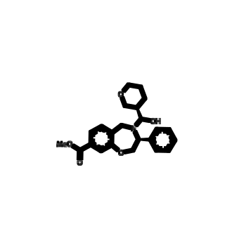 COC(=O)c1ccc2c(c1)OC[C@H](c1ccccc1)N(C(O)[C@@H]1CCCOC1)C2